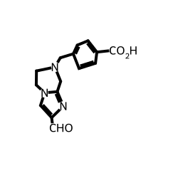 O=Cc1cn2c(n1)CN(Cc1ccc(C(=O)O)cc1)CC2